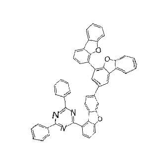 c1ccc(-c2nc(-c3ccccc3)nc(-c3cccc4oc5cc(-c6cc(-c7cccc8c7oc7ccccc78)c7oc8ccccc8c7c6)ccc5c34)n2)cc1